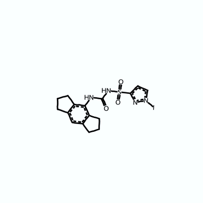 O=C(Nc1c2c(cc3c1CCC3)CCC2)NS(=O)(=O)c1ccn(I)n1